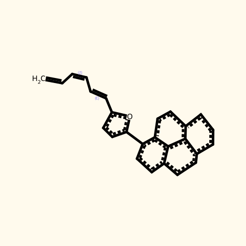 C=C/C=C\C=C\c1ccc(-c2ccc3ccc4cccc5ccc2c3c45)o1